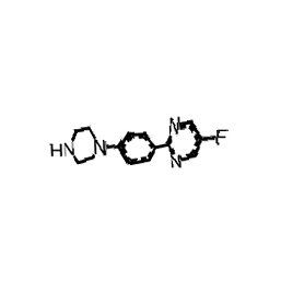 Fc1cnc(-c2ccc(N3CCNCC3)cc2)nc1